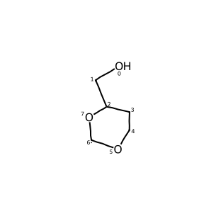 OCC1CCO[CH]O1